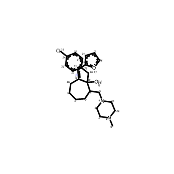 CN1CCN(CC2CCCC/C(=C/c3ccco3)C2(O)Cc2ccc(Cl)cc2)CC1